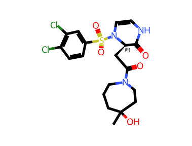 CC1(O)CCCN(C(=O)C[C@@H]2C(=O)NC=CN2S(=O)(=O)c2ccc(Cl)c(Cl)c2)CC1